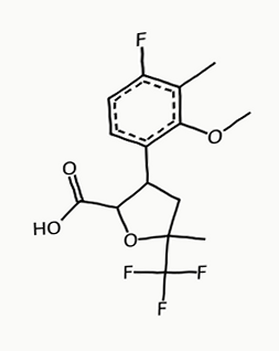 COc1c(C2CC(C)(C(F)(F)F)OC2C(=O)O)ccc(F)c1C